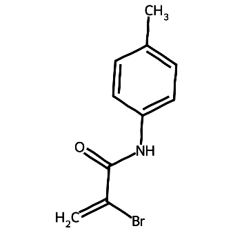 C=C(Br)C(=O)Nc1ccc(C)cc1